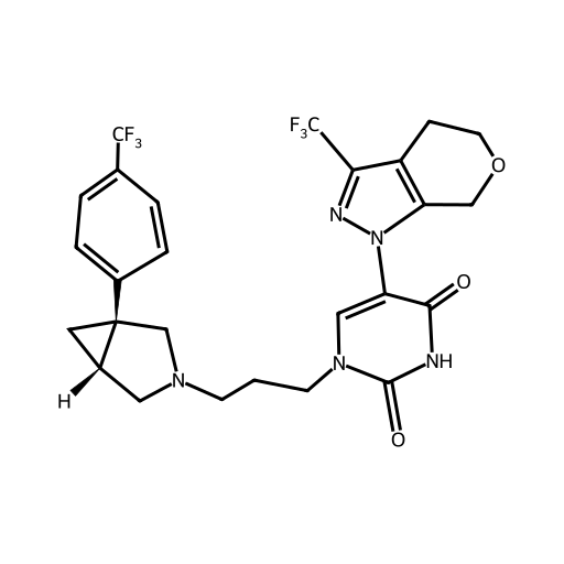 O=c1[nH]c(=O)n(CCCN2C[C@@H]3C[C@]3(c3ccc(C(F)(F)F)cc3)C2)cc1-n1nc(C(F)(F)F)c2c1COCC2